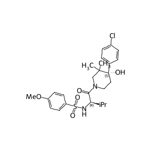 COc1ccc(S(=O)(=O)N[C@@H](C(=O)N2CC[C@](O)(c3ccc(Cl)cc3)C(C)(C)C2)C(C)C)cc1